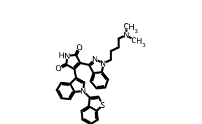 CN(C)CCCCn1nc(C2=C(c3cn(-c4csc5ccccc45)c4ccccc34)C(=O)NC2=O)c2ccccc21